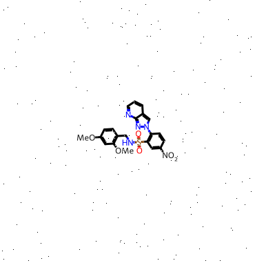 COc1ccc(CNS(=O)(=O)c2cc([N+](=O)[O-])ccc2-n2cc3cccnc3n2)c(OC)c1